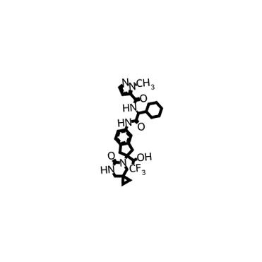 Cn1nccc1C(=O)N[C@H](C(=O)Nc1ccc2c(c1)CC(C(O)C(F)(F)F)(N1CC3(CC3)CNC1=O)C2)C1CCCCC1